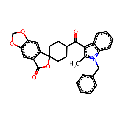 Cc1c(C(=O)C2CCC3(CC2)OC(=O)c2cc4c(cc23)OCO4)c2ccccc2n1Cc1ccccc1